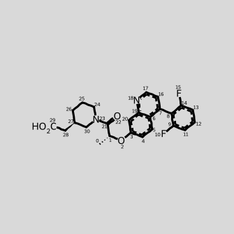 C[C@@H](Oc1ccc2c(-c3c(F)cccc3F)ccnc2c1)C(=O)N1CCC[C@H](CC(=O)O)C1